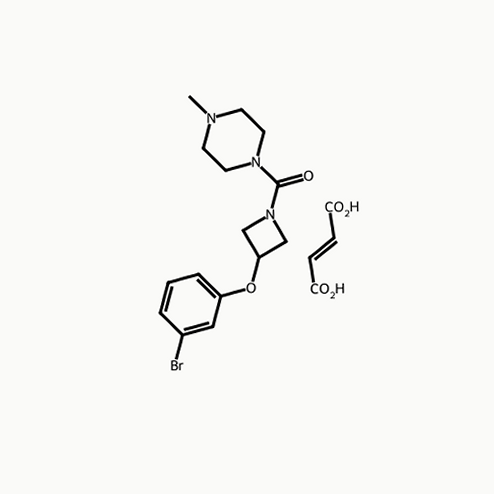 CN1CCN(C(=O)N2CC(Oc3cccc(Br)c3)C2)CC1.O=C(O)C=CC(=O)O